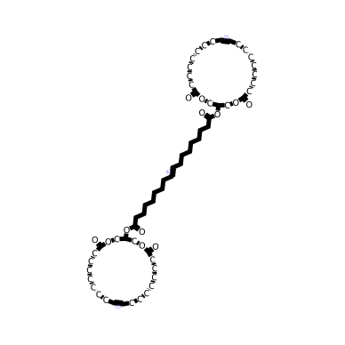 O=C1CCCCCCC/C=C\CCCCCCCC(=O)OCC(OC(=O)CCCCCCC/C=C/CCCCCCCC(=O)OC2COC(=O)CCCCCCC/C=C\CCCCCCCC(=O)OC2)CO1